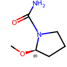 CO[C@@H]1CCCN1C(N)=O